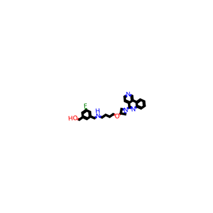 OCc1cc(F)cc(CNCCCCOC2CN(c3nc4ccccc4c4cnccc34)C2)c1